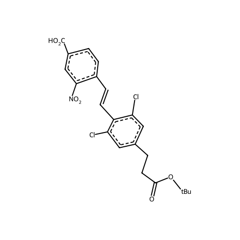 CC(C)(C)OC(=O)CCc1cc(Cl)c(C=Cc2ccc(C(=O)O)cc2[N+](=O)[O-])c(Cl)c1